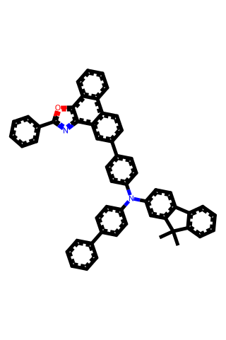 CC1(C)c2ccccc2-c2ccc(N(c3ccc(-c4ccccc4)cc3)c3ccc(-c4ccc5c6ccccc6c6oc(-c7ccccc7)nc6c5c4)cc3)cc21